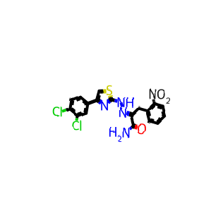 NC(=O)/C(Cc1ccccc1[N+](=O)[O-])=N/Nc1nc(-c2ccc(Cl)c(Cl)c2)cs1